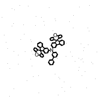 c1ccc(-c2cccc(N(c3ccc4c(c3)-c3ccccc3C43c4ccccc4Oc4ccccc43)c3ccc4c(c3)-c3ccccc3C43c4ccccc4Oc4ccccc43)c2)cc1